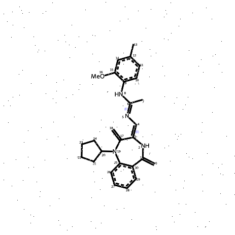 C=C1N/C(=C/N=C(\C)Nc2ccc(C)cc2OC)C(=C)N(C2CCCC2)c2ccccc21